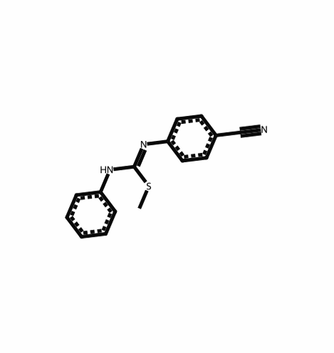 CS/C(=N\c1ccc(C#N)cc1)Nc1ccccc1